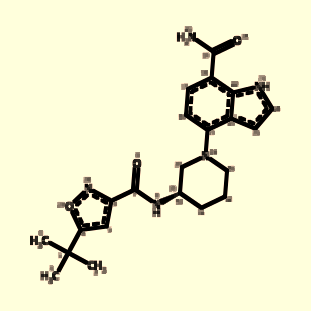 CC(C)(C)c1cc(C(=O)N[C@@H]2CCCN(c3ccc(C(N)=O)c4[nH]ccc34)C2)no1